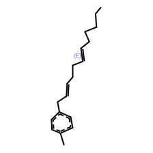 CCCCC/C=C/CCC=CCc1ccc(C)cc1